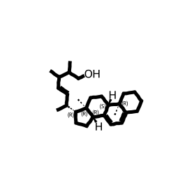 CC(C=CC(C)[C@H]1CC[C@H]2C3=CC=C4CCCC[C@]4(C)[C@H]3CC[C@]12C)C(C)CO